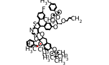 C=CCOC[C@H](COS(=O)(=O)c1ccc(C)cc1)Oc1ccc(-c2c(-c3ccc(F)cc3)sc3ncnc(OC(Cc4cc(O[Si](C)(C)C(C)(C)C)ccc4OCc4ccccc4)C(=O)OC(C)(C)C)c23)c(C)c1Cl